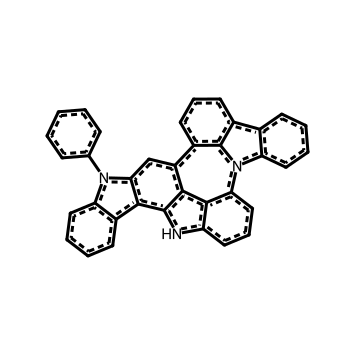 c1ccc(-n2c3ccccc3c3c4[nH]c5cccc6c5c4c(cc32)c2cccc3c4ccccc4n6c23)cc1